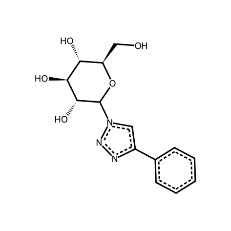 OC[C@H]1OC(n2cc(-c3ccccc3)nn2)[C@H](O)[C@@H](O)[C@@H]1O